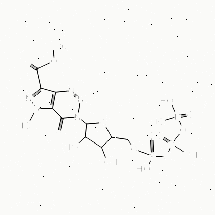 CCCCOC(=O)c1nn(O)c2c(=O)n(C3OC(COP(=O)(O)OP(=O)(O)OP(=O)(O)O)C(O)C3O)nnc12